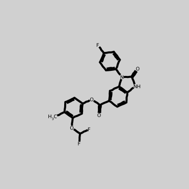 Cc1ccc(OC(=O)c2ccc3[nH]c(=O)n(-c4ccc(F)cc4)c3c2)cc1OC(F)F